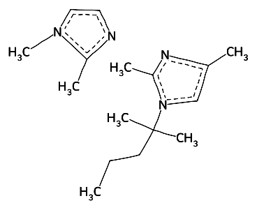 CCCC(C)(C)n1cc(C)nc1C.Cc1nccn1C